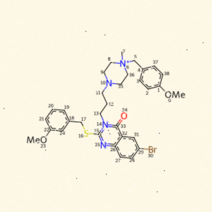 COc1ccc(C[N+]2(C)CCN(CCCn3c(SCc4cccc(OC)c4)nc4ccc(Br)cc4c3=O)CC2)cc1